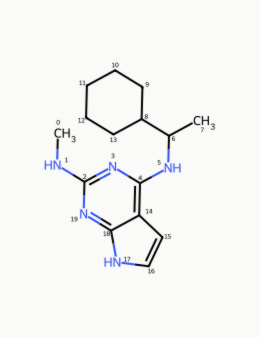 CNc1nc(NC(C)C2CCCCC2)c2cc[nH]c2n1